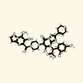 CCc1c(N2CCN(C(=O)c3nc4ccnn4c(C)c3O)CC2)c(=O)n2nc(C3=CCOCC3)nc2n1C(C(N)=O)c1ccc(C(F)(F)F)cc1Cl